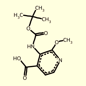 COc1nccc(C(=O)O)c1NC(=O)OC(C)(C)C